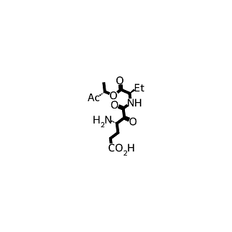 CC[C@@H](NC(=O)C(=O)[C@@H](N)CCC(=O)O)C(=O)O[C@@H](C)C(C)=O